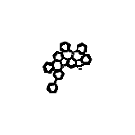 c1ccc(-c2ccc(-n3c4cc5oc6ccccc6c5c(N(c5ccccc5)c5ccccc5)c4c4cccc(-c5ccccc5)c43)cc2)cc1